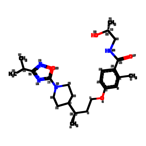 Cc1cc(OCC[C@@H](C)C2CCN(c3nc(C(C)C)no3)CC2)ccc1C(=O)NC[C@@H](C)O